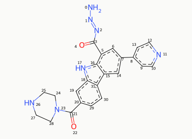 NN=NC(=O)c1cc(-c2ccncc2)cc2c1[nH]c1cc(C(=O)N3CCNCC3)ccc12